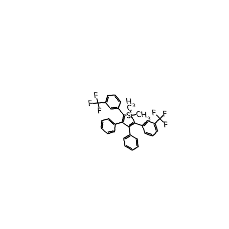 C[Si]1(C)C(c2cccc(C(F)(F)F)c2)=C(c2ccccc2)C(c2ccccc2)=C1c1cccc(C(F)(F)F)c1